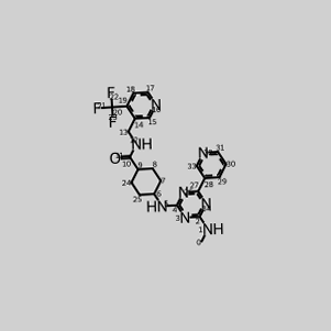 CNc1nc(NC2CCC(C(=O)NCc3cnccc3C(F)(F)F)CC2)nc(-c2cccnc2)n1